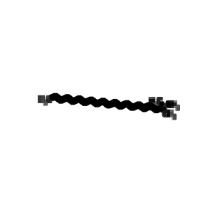 CCCCCCCCCCCCCCCCC=CC[N+](C)(C)C